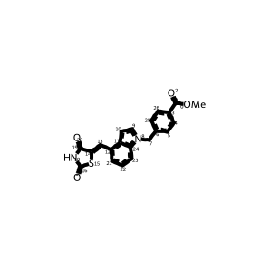 COC(=O)c1ccc(Cn2ccc3c(/C=C4\SC(=O)NC4=O)cccc32)cc1